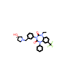 CCN1C(=O)N(c2cccc(CN3CC[C@@H](O)C3)c2)C(=O)N(c2ccccc2)c2cc(C(F)(F)F)ccc21